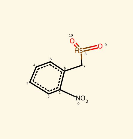 O=[N+]([O-])c1ccccc1C[SH](=O)=O